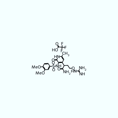 COc1ccc(S(=O)(=O)Nc2c(C(CCONC(=N)N)C(N)=O)cc(C)[nH]c2=O)cc1OC.O=C(O)C(F)(F)F